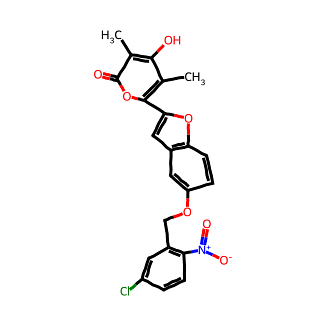 Cc1c(-c2cc3cc(OCc4cc(Cl)ccc4[N+](=O)[O-])ccc3o2)oc(=O)c(C)c1O